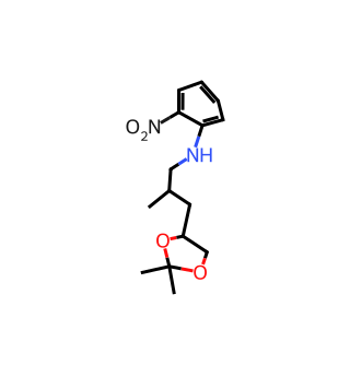 CC(CNc1ccccc1[N+](=O)[O-])CC1COC(C)(C)O1